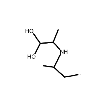 [CH2]CC(C)NC(C)C(O)O